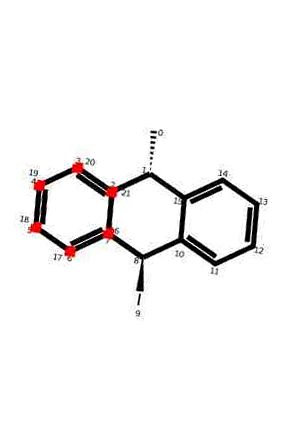 C[C@]12c3ccccc3[C@@](I)(c3ccccc31)c1ccccc12